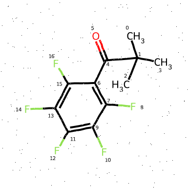 CC(C)(C)C(=O)c1c(F)c(F)c(F)c(F)c1F